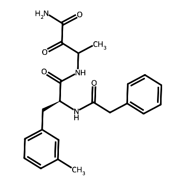 Cc1cccc(C[C@H](NC(=O)Cc2ccccc2)C(=O)NC(C)C(=O)C(N)=O)c1